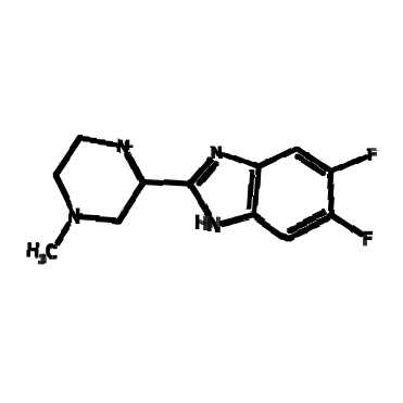 CN1CC[N]C(c2nc3cc(F)c(F)cc3[nH]2)C1